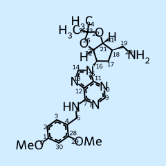 COc1ccc(CNc2ncnc3c2ncn3[C@@H]2C[C@H](CN)[C@H]3OC(C)(C)O[C@H]32)c(OC)c1